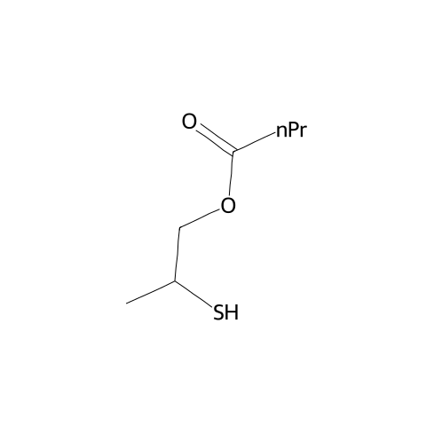 CCCC(=O)OCC(C)S